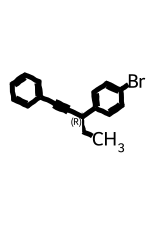 CC[C@@H](C#Cc1ccccc1)c1ccc(Br)cc1